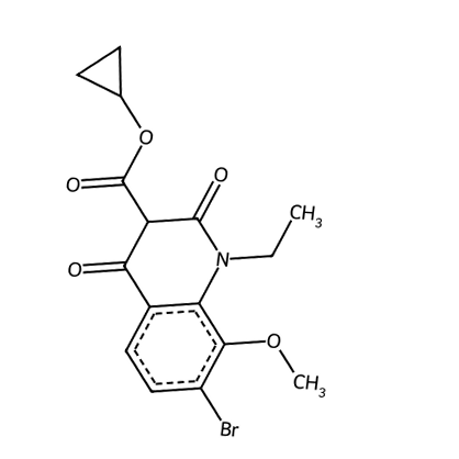 CCN1C(=O)C(C(=O)OC2CC2)C(=O)c2ccc(Br)c(OC)c21